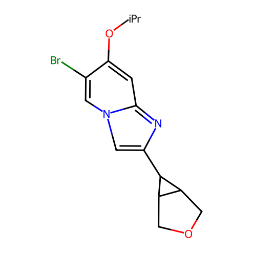 CC(C)Oc1cc2nc(C3C4COCC43)cn2cc1Br